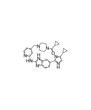 O=C(C1CC1)N1CCN(Cc2ccnc(Nc3nc4ccc(-c5nc(C6CC6)c[nH]5)cc4[nH]3)c2)CC1